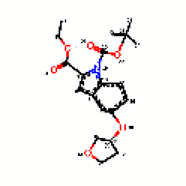 CCOC(=O)c1cc2cc(O[C@H]3CCOC3)ccc2n1C(=O)OC(C)(C)C